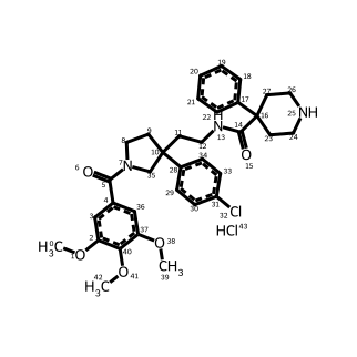 COc1cc(C(=O)N2CCC(CCNC(=O)C3(c4ccccc4)CCNCC3)(c3ccc(Cl)cc3)C2)cc(OC)c1OC.Cl